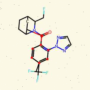 Cc1ccc(C(=O)N2C(CF)C3CCC2C(Oc2ccc(C(F)(F)F)cn2)C3)c(-n2nccn2)c1